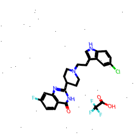 O=C(O)C(F)(F)F.O=c1[nH]c(C2CCN(CCc3c[nH]c4ccc(Cl)cc34)CC2)nc2cc(F)ccc12